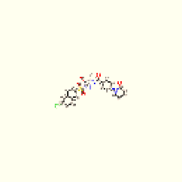 CC(NC(=O)c1ccc(-n2ccccc2=O)cc1)C(=O)NS(=O)(=O)c1ccc2cc(Cl)ccc2c1